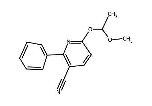 COC(C)Oc1ccc(C#N)c(-c2ccccc2)n1